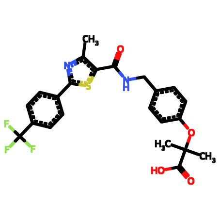 Cc1nc(-c2ccc(C(F)(F)F)cc2)sc1C(=O)NCc1ccc(OC(C)(C)C(=O)O)cc1